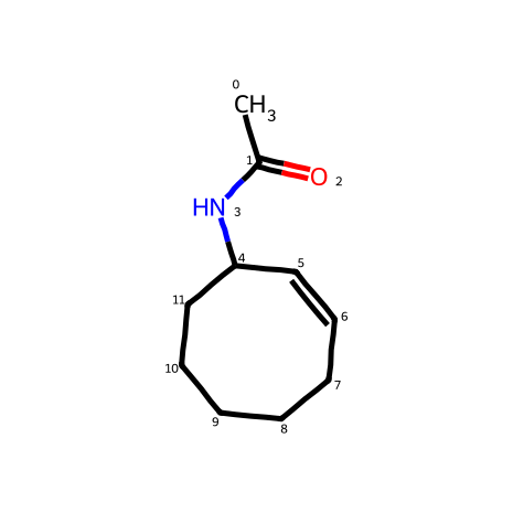 CC(=O)NC1/C=C\CCCCC1